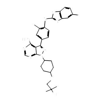 CC(C)(O)COC1CCC(n2nc(-c3ccc(Nc4nc5cc(Cl)ccc5o4)c(F)c3)c3c(N)ncnc32)CC1